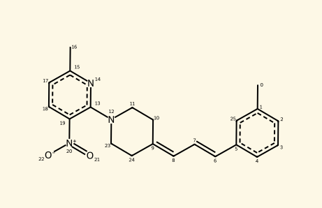 Cc1cccc(C=CC=C2CCN(c3nc(C)ccc3[N+](=O)[O-])CC2)c1